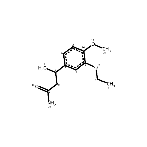 CCOc1cc(C(C)CC(N)=O)ccc1OC